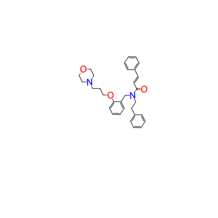 O=C(C=Cc1ccccc1)N(CCc1ccccc1)Cc1ccccc1OCCCN1CCOCC1